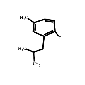 C[C](C)Cc1cc(C)ccc1F